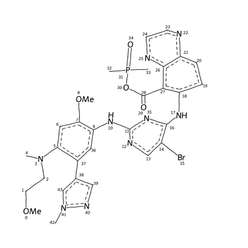 COCCN(C)c1cc(OC)c(Nc2ncc(Br)c(Nc3ccc4nccnc4c3C(=O)OP(C)(C)=O)n2)cc1-c1cnn(C)c1